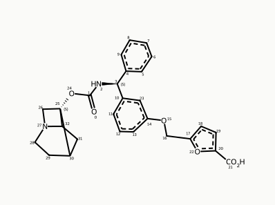 O=C(N[C@@H](c1ccccc1)c1cccc(OCc2ccc(C(=O)O)o2)c1)O[C@]12CN3CCC1CC32